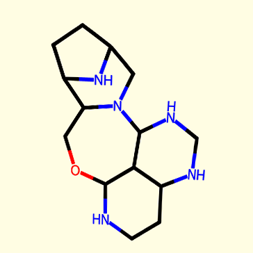 C1CC2NCNC3C2C(N1)OCC1C2CCC(CN13)N2